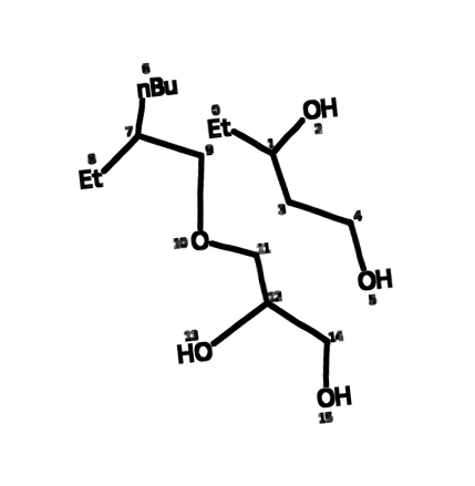 CCC(O)CCO.CCCCC(CC)COCC(O)CO